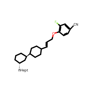 CCCCCCC[C@@H]1CCC[C@@H](C2CCC(/C=C/COc3ccc(C#N)cc3F)CC2)C1